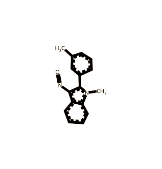 Cc1cccc(-c2c(N=O)c3ccccc3n2C)c1